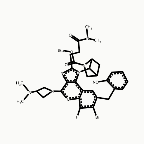 CN(C)C(=O)CCc1nc2c(N3CC(N(C)C)C3)nc3c(F)c(Br)c(Cc4ccccc4C#N)cc3c2n1C1C2CC1N(C(=O)OC(C)(C)C)C2